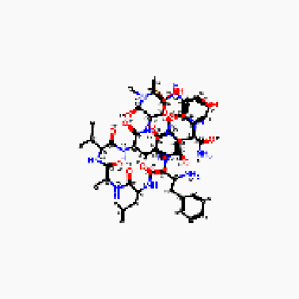 CC(C)CC(NC(=O)CNC(=O)C(Cc1ccccc1)N(C)C(=O)C(C)NC(=O)C(N)Cc1ccccc1)C(=O)NC(C)C(=O)NC(C(=O)NC(Cc1ccccc1)C(=O)NC(CC(O)=S)C(=O)N(C)C(C)C(=O)NC(CO)C(=O)NCC(N)=O)C(C)C